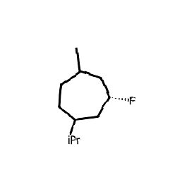 CC1CCC(C(C)C)C[C@@H](F)C1